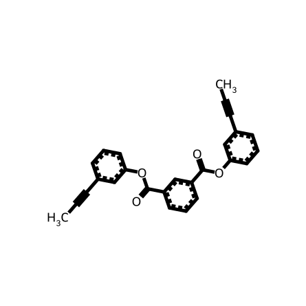 CC#Cc1cccc(OC(=O)c2cccc(C(=O)Oc3cccc(C#CC)c3)c2)c1